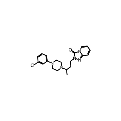 CC(CCn1nc2ccccn2c1=O)N1CCN(c2cccc(Cl)c2)CC1